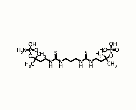 CC(C)(CCNC(=S)NCCCNC(=S)NCCC(C)(C)OP(=O)(O)O)OP(N)(=O)O